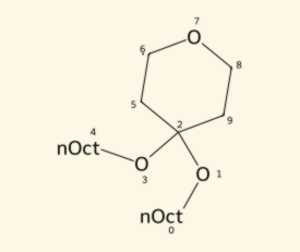 CCCCCCCCOC1(OCCCCCCCC)C[CH]OCC1